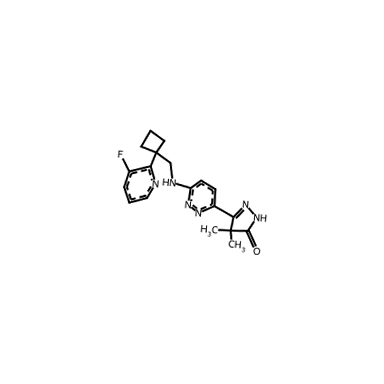 CC1(C)C(=O)NN=C1c1ccc(NCC2(c3ncccc3F)CCC2)nn1